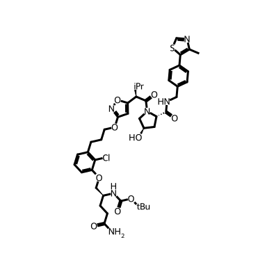 Cc1ncsc1-c1ccc(CNC(=O)[C@@H]2C[C@@H](O)CN2C(=O)[C@@H](c2cc(OCCCc3cccc(OC[C@H](CCC(N)=O)NC(=O)OC(C)(C)C)c3Cl)no2)C(C)C)cc1